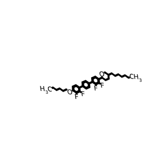 CCCCCCCC1CCC(c2ccc(-c3ccc(-c4ccc(OCCCCCC)c(F)c4F)cc3)c(F)c2F)OC1